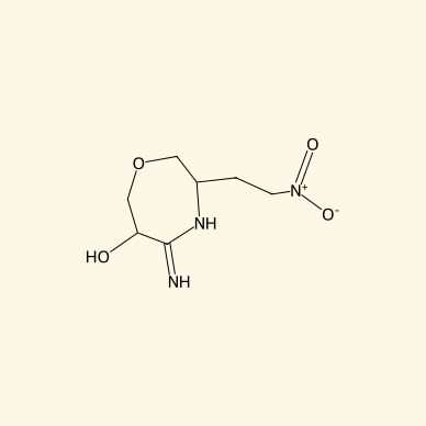 N=C1NC(CC[N+](=O)[O-])COCC1O